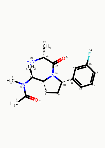 CC(=O)N(C)[C@@H](C)[C@H]1CC[C@@H](c2cccc(F)c2)N1C(=O)[C@@H](C)N